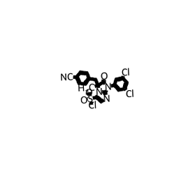 CC1(Cc2ccc(C#N)cc2)C(=O)N(c2cc(Cl)cc(Cl)c2)c2ncc(S(=O)(=O)Cl)n21